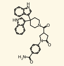 NC(=O)c1ccc(N2CC(C(=O)N3CCC(c4c[nH]c5ccccc45)(c4c[nH]c5ccccc45)CC3)CC2=O)cc1